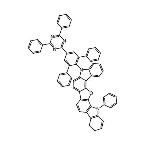 C1=Cc2c(c3ccc4c5ccc6c(c7ccccc7n6-c6c(-c7ccccc7)cc(-c7nc(-c8ccccc8)nc(-c8ccccc8)n7)cc6-c6ccccc6)c5oc4c3n2-c2ccccc2)CC1